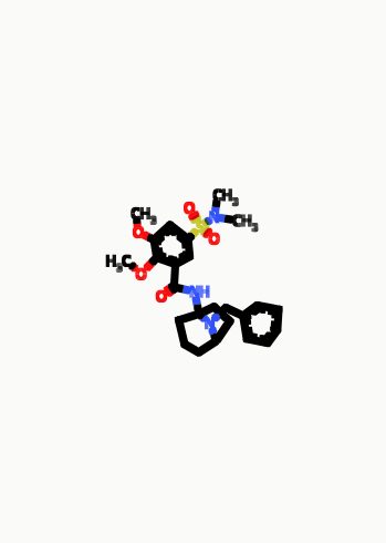 COc1cc(S(=O)(=O)N(C)C)cc(C(=O)NC23CCCC(CC2)N3Cc2ccccc2)c1OC